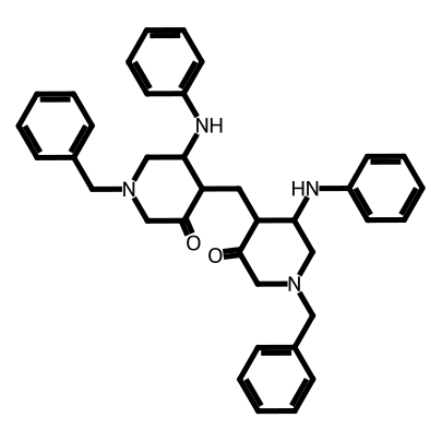 O=C1CN(Cc2ccccc2)CC(Nc2ccccc2)C1CC1C(=O)CN(Cc2ccccc2)CC1Nc1ccccc1